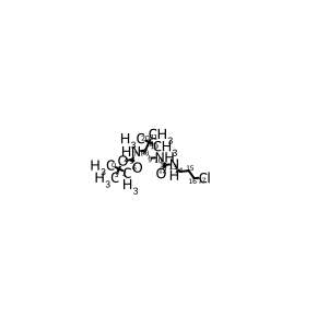 CC(C)(C)OC(=O)N[C@@H](CNC(=O)NCCCCl)C(C)(C)C